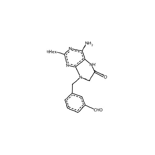 CCCCCCc1nc(N)c2c(n1)N(Cc1cccc(C=O)c1)CC(=O)N2